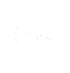 CCC/C=C/[C@H](CC(=O)NCc1nc(C2=N[C@](C)(COC=O)CO2)co1)OC(=O)C(N)C(C)C